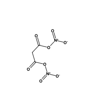 O=C(CC(=O)O[N+](=O)[O-])O[N+](=O)[O-]